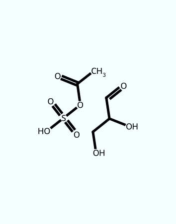 CC(=O)OS(=O)(=O)O.O=CC(O)CO